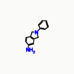 Nc1ccc2c(c1)CN(c1ccccc1)C2